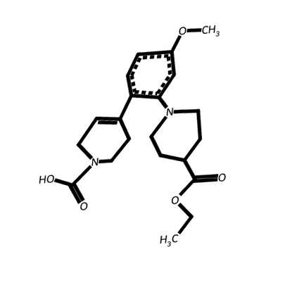 CCOC(=O)C1CCN(c2cc(OC)ccc2C2=CCN(C(=O)O)CC2)CC1